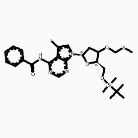 CSCOC1C[C@H](n2cc(I)c3c(NC(=O)c4ccccc4)ncnc32)O[C@@H]1CO[Si](C)(C)C(C)(C)C